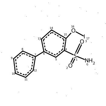 NS(=O)(=O)c1cc(-c2ccccc2)ccc1OI